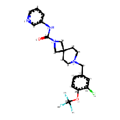 O=C(Nc1cccnc1)N1CC2(CCN(Cc3ccc(OC(F)(F)F)c(Cl)c3)CC2)C1